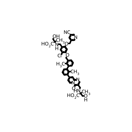 Cc1c(COc2cc(OCc3cncc(C#N)c3)c(CN[C@@](C)(CO)C(=O)O)cc2Cl)cccc1-c1cccc(-c2ccn3c(=O)c(CN[C@](C)(CO)C(=O)O)cnc3c2)c1C